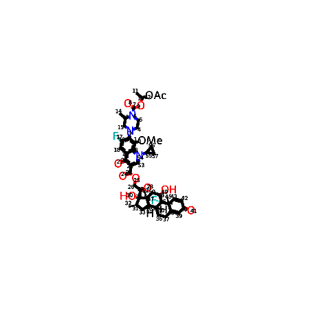 COc1c(N2CCN(C(=O)OC(C)OC(C)=O)C(C)C2)c(F)cc2c(=O)c(C(=O)OCC(=O)[C@]3(O)[C@H](C)C[C@@H]4[C@H]5CCC6=CC(=O)C=C[C@@]6(C)[C@]5(F)[C@H](O)C[C@]43C)cn(C3CC3)c12